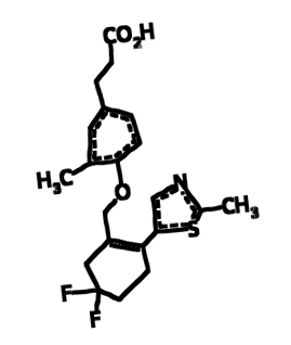 Cc1ncc(C2=C(COc3ccc(CCC(=O)O)cc3C)CC(F)(F)CC2)s1